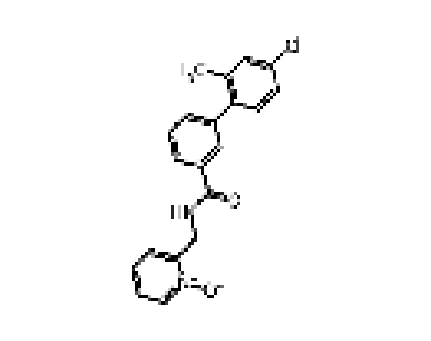 Cc1cc(Cl)ccc1-c1cccc(C(=O)NCc2cccc[n+]2[O-])c1